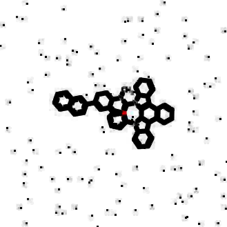 CN1C(N2C3=C(C4=C(CCC=C4)C4C5C=CC=CC5N(c5ccccc5)C34)C3C=CCCC32)=NC=C2C=C(c3ccc4ccccc4c3)CCC21